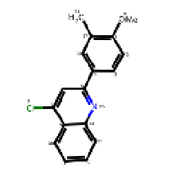 COc1ccc(-c2cc(Cl)c3ccccc3n2)cc1C